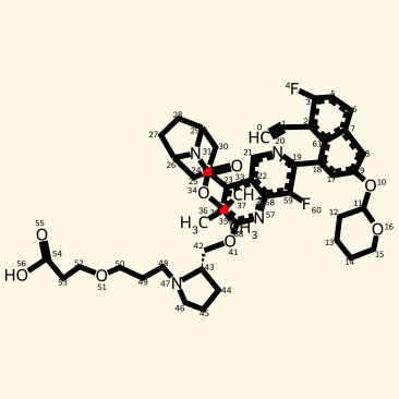 C#Cc1c(F)ccc2cc(OC3CCCCO3)cc(-c3ncc4c(N5CC6CCC(C5)N6C(=O)OC(C)(C)C)nc(OC[C@@H]5CCCN5CCCOCCC(=O)O)nc4c3F)c12